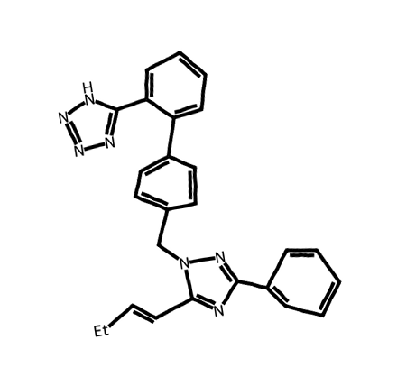 CCC=Cc1nc(-c2ccccc2)nn1Cc1ccc(-c2ccccc2-c2nnn[nH]2)cc1